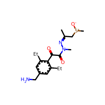 CCc1cc(CN)cc(CC)c1C(=O)C(=O)N(C)N=C(C)C[S+](C)[O-]